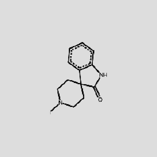 O=C1Nc2ccccc2C12CCN(I)CC2